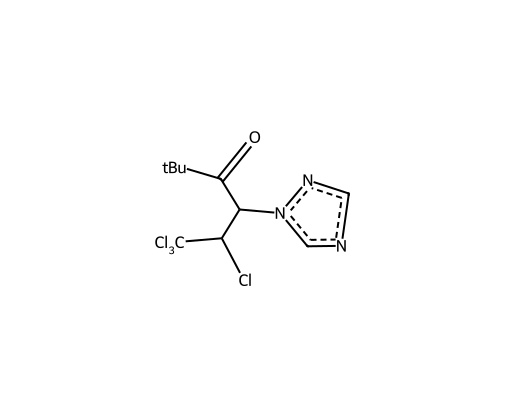 CC(C)(C)C(=O)C(C(Cl)C(Cl)(Cl)Cl)n1cncn1